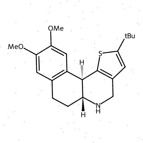 COc1cc2c(cc1OC)[C@H]1c3sc(C(C)(C)C)cc3CN[C@@H]1CC2